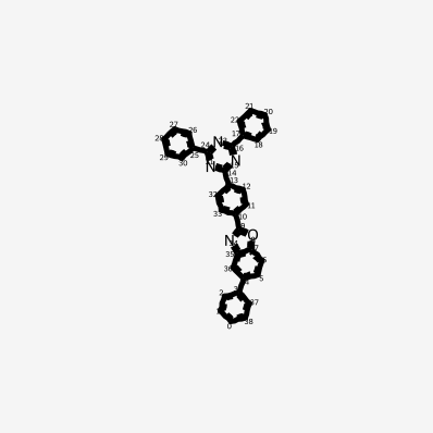 c1ccc(-c2ccc3oc(-c4ccc(-c5nc(-c6ccccc6)nc(-c6ccccc6)n5)cc4)nc3c2)cc1